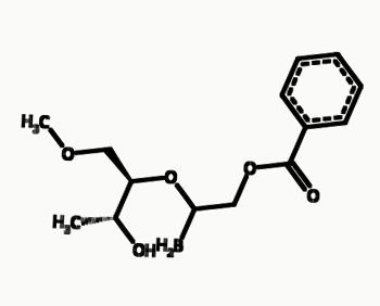 BC(COC(=O)c1ccccc1)O[C@H](COC)[C@@H](C)O